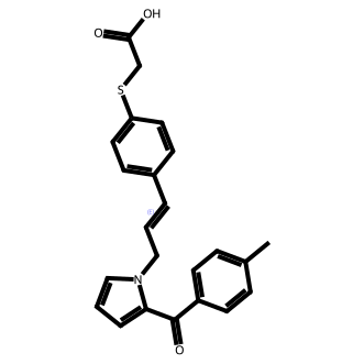 Cc1ccc(C(=O)c2cccn2C/C=C/c2ccc(SCC(=O)O)cc2)cc1